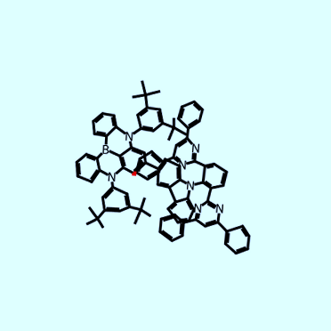 CC(C)(C)c1cc(N2c3ccccc3B3c4ccccc4N(c4cc(C(C)(C)C)cc(C(C)(C)C)c4)c4cc(-c5ccc6c(c5)c5ccccc5n6-c5c(-c6nc(-c7ccccc7)cc(-c7ccccc7)n6)cccc5-c5nc(-c6ccccc6)cc(-c6ccccc6)n5)cc2c43)cc(C(C)(C)C)c1